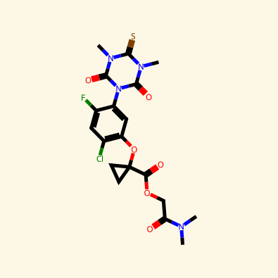 CN(C)C(=O)COC(=O)C1(Oc2cc(-n3c(=O)n(C)c(=S)n(C)c3=O)c(F)cc2Cl)CC1